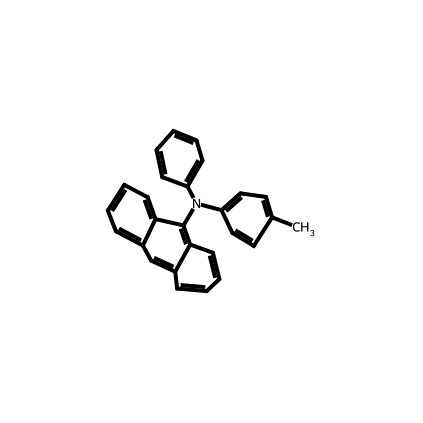 Cc1ccc(N(c2ccccc2)c2c3ccccc3cc3ccccc23)cc1